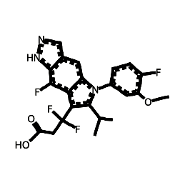 COc1cc(-n2c(C(C)C)c(C(F)(F)CC(=O)O)c3c(F)c4[nH]ncc4cc32)ccc1F